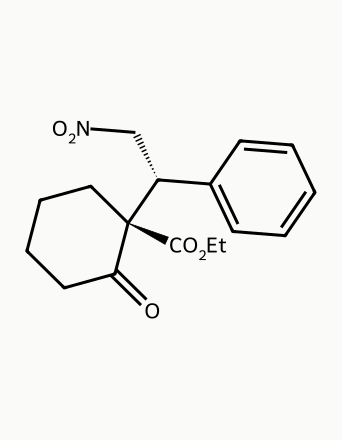 CCOC(=O)[C@]1([C@H](C[N+](=O)[O-])c2ccccc2)CCCCC1=O